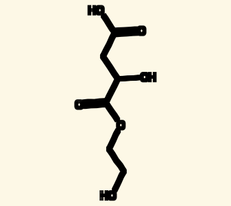 O=C(O)CC(O)C(=O)OCCO